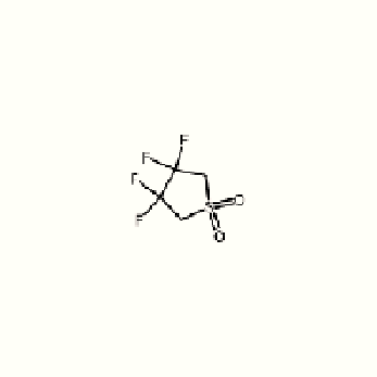 O=S1(=O)CC(F)(F)C(F)(F)C1